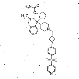 CN1Cc2ccccc2C(C2CCN(CC3CN(c4ccc(S(=O)(=O)c5ccncc5)cc4)C3)CC2)(C2CCCC2OC(N)=O)C1